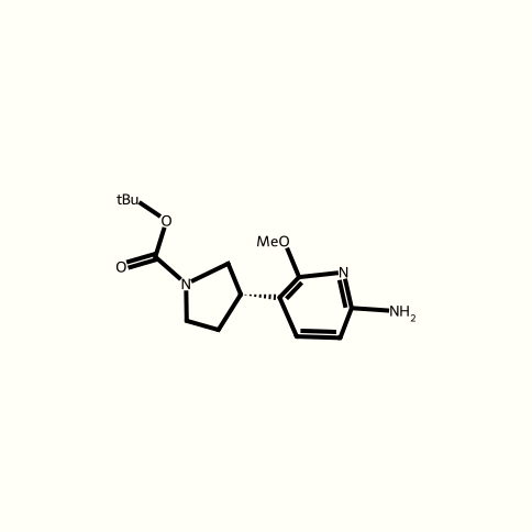 COc1nc(N)ccc1[C@@H]1CCN(C(=O)OC(C)(C)C)C1